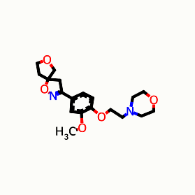 COc1cc(C2=NOC3(CCOC3)C2)ccc1OCCN1CCOCC1